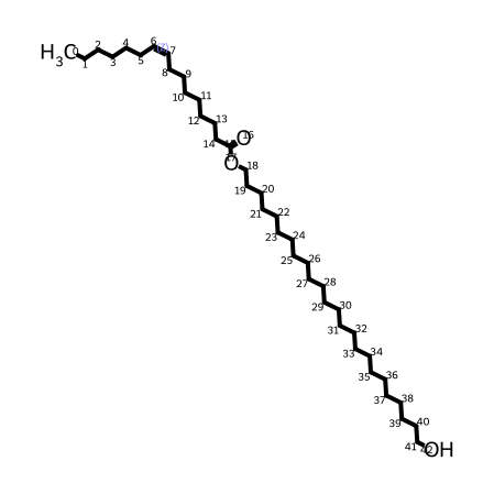 CCCCCC/C=C\CCCCCCCC(=O)OCCCCCCCCCCCCCCCCCCCCCCCCO